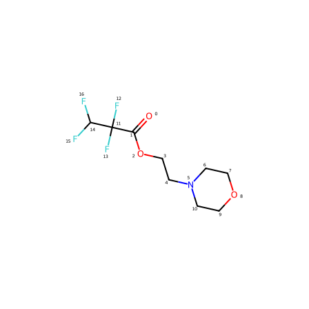 O=C(OCCN1CCOCC1)C(F)(F)C(F)F